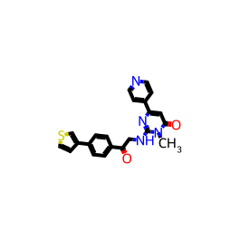 Cn1c(NCC(=O)c2ccc(-c3ccsc3)cc2)nc(-c2ccncc2)cc1=O